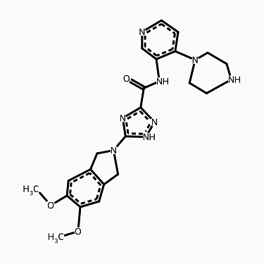 COc1cc2c(cc1OC)CN(c1nc(C(=O)Nc3cnccc3N3CCNCC3)n[nH]1)C2